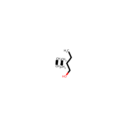 C=C.C=C.CCCCO